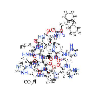 CC(C)C[C@H](NC(=O)[C@H](Cc1c[nH]cn1)NC(=O)[C@H](Cc1c[nH]cn1)NC(=O)[C@H](CC(C)C)NC(=O)[C@H](CC(C)C)NC(=O)[C@H](CCC(=O)O)NC(=O)[C@H](Cc1c[nH]cn1)NC(=O)[C@H](CC(C)C)NC(=O)[C@H](CCCCN)NC(=O)[C@H](CCCCN)NC(=O)OCC1c2ccccc2-c2ccccc21)C(=O)N[C@@H](Cc1c[nH]cn1)C(=O)N[C@@H](Cc1c[nH]c2ccccc12)C(=O)O